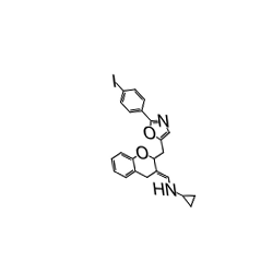 Ic1ccc(-c2ncc(CC3Oc4ccccc4CC3=CNC3CC3)o2)cc1